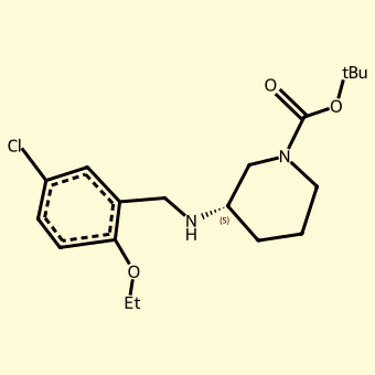 CCOc1ccc(Cl)cc1CN[C@H]1CCCN(C(=O)OC(C)(C)C)C1